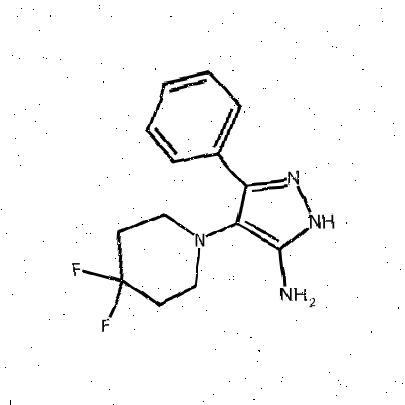 Nc1[nH]nc(-c2ccccc2)c1N1CCC(F)(F)CC1